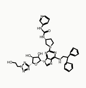 O=C(Nc1cccnc1)N[C@@H]1CCN(c2nc(NCC(c3ccccc3)c3ccccc3)c3ncn([C@@H]4O[C@H](c5nnn(CCO)n5)[C@@H](O)[C@H]4O)c3n2)C1